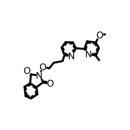 COc1cc(C)nc(-c2cccc(CCCON3C(=O)c4ccccc4C3=O)n2)c1